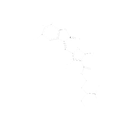 CCN(CCNC(=O)c1c(C)[nH]c(/C=C2\C(=O)Nc3ccc(F)cc32)c1C)C(=O)O